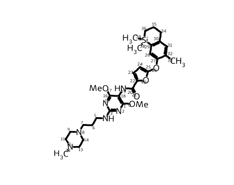 COc1nc(NCCCN2CCN(C)CC2)nc(OC)c1NC(=O)c1ccc(Oc2cc3c(cc2C)CCC[Si]3(C)C)o1